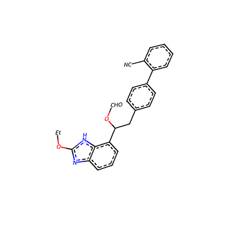 CCOc1nc2cccc(C(Cc3ccc(-c4ccccc4C#N)cc3)OC=O)c2[nH]1